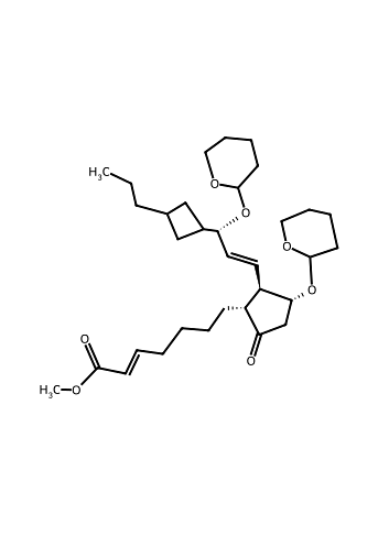 CCCC1CC([C@@H](/C=C/[C@H]2[C@H](OC3CCCCO3)CC(=O)[C@@H]2CCCC/C=C/C(=O)OC)OC2CCCCO2)C1